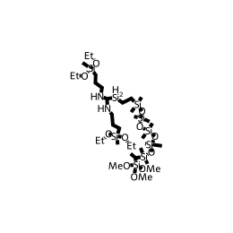 CCO[Si](C)(CCCNC(NCCC[Si](C)(OCC)OCC)[SiH2]CC[Si](C)(C)O[Si](C)(C)O[Si](C)(C)O[Si](C)(C)O[Si](C)(C)C(C)[Si](OC)(OC)OC)OCC